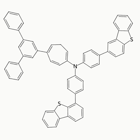 C1=CC(N(c2ccc(-c3ccc4sc5ccccc5c4c3)cc2)c2ccc(-c3cccc4c3sc3ccccc34)cc2)=CCC=C1c1cc(-c2ccccc2)cc(-c2ccccc2)c1